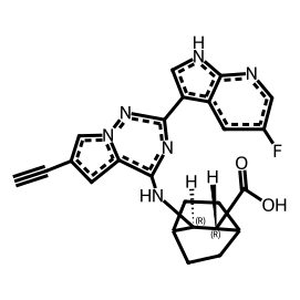 C#Cc1cc2c(N[C@@H]3C4CCC(CC4)[C@H]3C(=O)O)nc(-c3c[nH]c4ncc(F)cc34)nn2c1